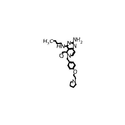 CCCCNc1nc(N)nc2c1C(C=O)N(Cc1ccc(OCCN3CCCC3)cc1)C=C2